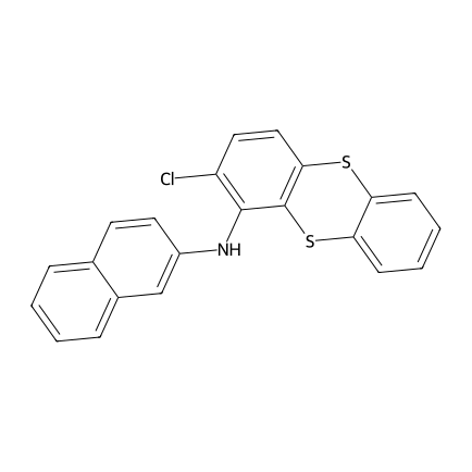 Clc1ccc2c(c1Nc1ccc3ccccc3c1)Sc1ccccc1S2